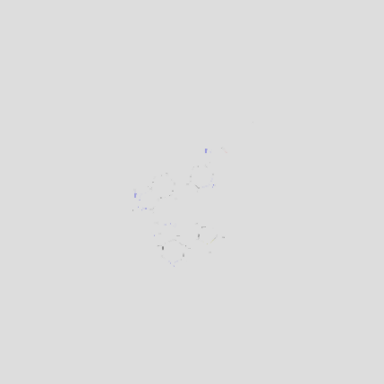 CCCC(=O)Nc1cncc(-c2ccc3[nH]nc(C4Nc5cncc(-c6cccs6)c5N4)c3c2)c1